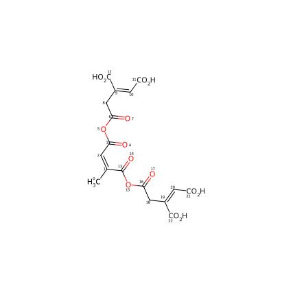 C/C(=C/C(=O)OC(=O)CC(=CC(=O)O)C(=O)O)C(=O)OC(=O)CC(=CC(=O)O)C(=O)O